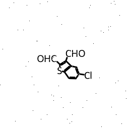 O=Cc1sc2ccc(Cl)cc2c1C=O